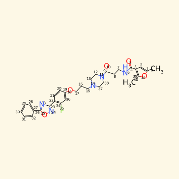 Cc1cc(C(=O)NCCC(=O)N2CCN(CCCOc3ccc(-c4noc(-c5ccccc5)n4)c(F)c3)CC2)c(C)o1